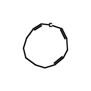 C1=CCC=CCCCCCC=CC1